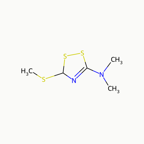 CSC1N=C(N(C)C)SS1